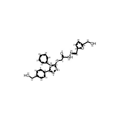 O=C(CSc1nnc(-c2ccc(CO)cc2)n1-c1ccccc1)NN=Cc1ccc(CO)o1